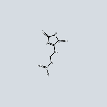 O=C1C=C(OCC[N+](=O)[O-])C(=O)O1